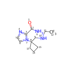 NC(=O)c1n[c]cn1C1(CNCC(F)(F)F)CCC1